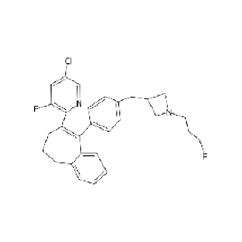 FCCCN1CC(Cc2ccc(C3=C(c4ncc(Cl)cc4F)CCCc4ccccc43)cc2)C1